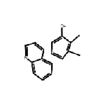 Cc1cccc(O)c1C.c1ccc2ncccc2c1